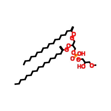 C=C(CCCCCCCCCCCCCCCC)OOCC(COP(=O)(O)OCC(O)COC)OOC(=C)CCCCCCCCCCCCCCCC